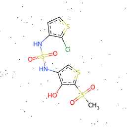 CS(=O)(=O)c1scc(NS(=O)(=O)Nc2ccsc2Cl)c1O